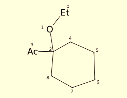 CCOC1(C(C)=O)CCCCC1